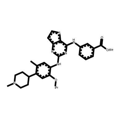 COC(=O)c1cccc(Nc2nc(Nc3cc(C)c(C4CCN(C)CC4)cc3OC(C)C)nc3ccsc23)c1